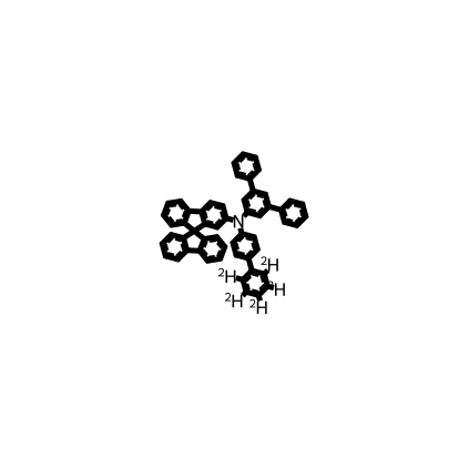 [2H]c1c([2H])c([2H])c(-c2ccc(N(c3cc(-c4ccccc4)cc(-c4ccccc4)c3)c3ccc4c(c3)C3(c5ccccc5-c5ccccc53)c3ccccc3-4)cc2)c([2H])c1[2H]